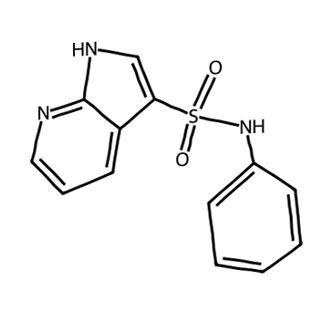 O=S(=O)(Nc1ccccc1)c1c[nH]c2ncccc12